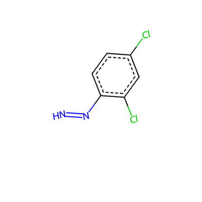 N=Nc1ccc(Cl)cc1Cl